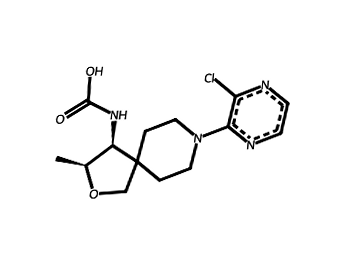 C[C@@H]1OCC2(CCN(c3nccnc3Cl)CC2)[C@@H]1NC(=O)O